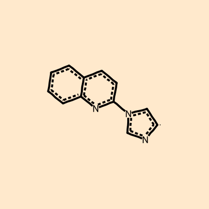 [c]1cn(-c2ccc3ccccc3n2)cn1